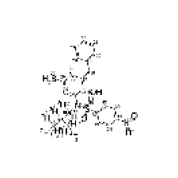 [2H]C([2H])([2H])C([2H])(C([2H])([2H])[2H])C([2H])([2H])N(C[C@@H](O)[C@H](Cc1ccccc1)NC(B)=O)S(=O)(=O)c1ccc([N+](=O)[O-])cc1